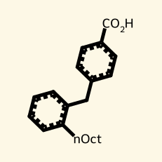 CCCCCCCCc1ccccc1Cc1ccc(C(=O)O)cc1